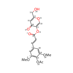 COc1cc(/C=C/C(=O)Oc2coc(CO)cc2=O)cc(OC)c1OC(C)=O